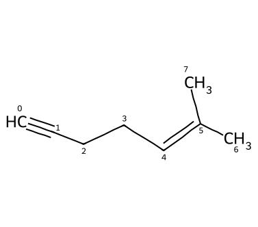 C#CCCC=C(C)C